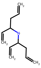 C=CCC(C=C)[N]C(C=C)CC=C